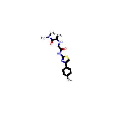 C=C(NCC(=O)Nc1nc(-c2ccc(C(C)(C)C)cc2)cs1)C(=O)N(C)C